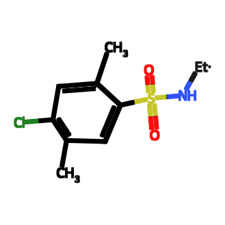 C[CH]NS(=O)(=O)c1cc(C)c(Cl)cc1C